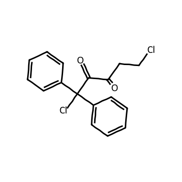 O=C(CCCl)C(=O)C(Cl)(c1ccccc1)c1ccccc1